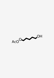 CC(=O)OOCCCCCO